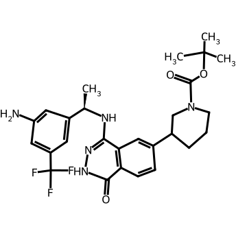 C[C@@H](Nc1n[nH]c(=O)c2ccc(C3CCCN(C(=O)OC(C)(C)C)C3)cc12)c1cc(N)cc(C(F)(F)F)c1